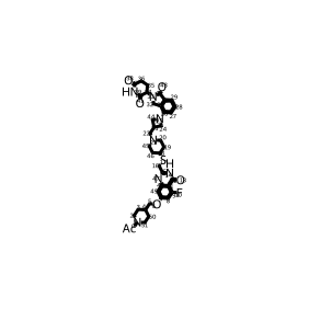 CC(=O)N1CCC(COc2cc(F)c3c(=O)[nH]c(CSC4CCN(CC5CN(c6cccc7c6CN(C6CCC(=O)NC6=O)C7=O)C5)CC4)nc3c2)CC1